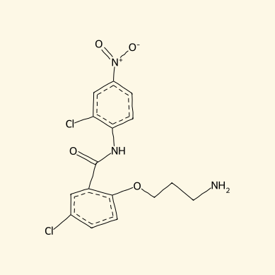 NCCCOc1ccc(Cl)cc1C(=O)Nc1ccc([N+](=O)[O-])cc1Cl